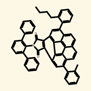 CCCCc1ccccc1-c1cc2c3c(=O)n(-c4c(-c5ccccc5)cccc4-c4ccccc4)c(=O)c3c3cc(-c4ccccc4C)c4ccc5ccc1c1c5c4c3c21